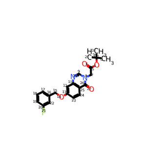 CC(C)(C)OC(=O)Cn1cnc2cc(OCc3cccc(F)c3)ccc2c1=O